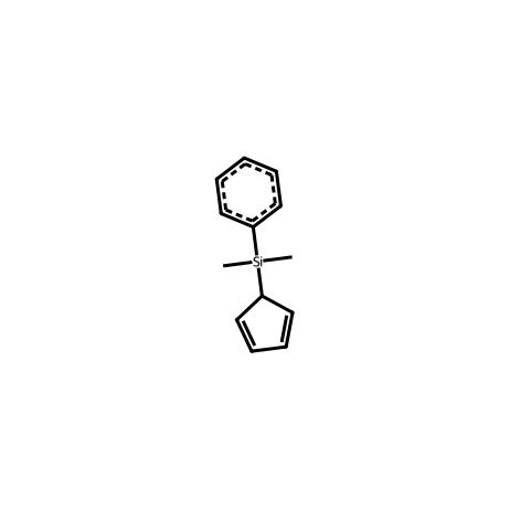 C[Si](C)(c1ccccc1)C1C=CC=C1